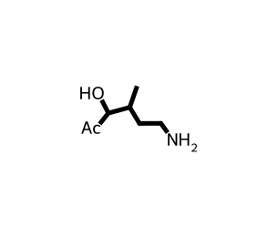 CC(=O)C(O)C(C)CCN